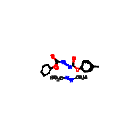 Cc1ccc(OC(=O)N=NC(=O)OC2CCCCC2)cc1.O=C(O)N=NC(=O)O